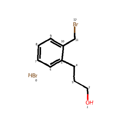 Br.OCCCc1ccccc1CBr